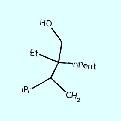 CCCCCC(CC)(CO)C(C)C(C)C